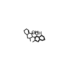 Cc1cc2ccccc2c(O)c1C1C(C)CC2CCCC=C2C1O